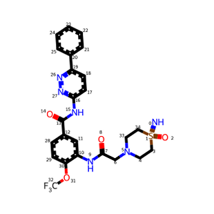 N=S1(=O)CCN(CC(=O)Nc2cc(C(=O)Nc3ccc(-c4ccccc4)nn3)ccc2OC(F)(F)F)CC1